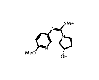 COc1ccc(N=C(SC)N2CC[C@H](O)C2)cn1